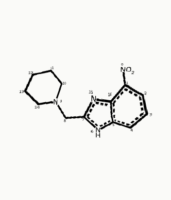 O=[N+]([O-])c1cccc2[nH]c(CN3CCCCC3)nc12